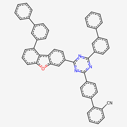 N#Cc1ccccc1-c1ccc(-c2nc(-c3cccc(-c4ccccc4)c3)nc(-c3ccc4c(c3)oc3cccc(-c5cccc(-c6ccccc6)c5)c34)n2)cc1